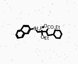 CCOC(=O)C(CC1CCCCC1)C(CSc1ccc2ccccc2c1)(OCC)[PH2]=O